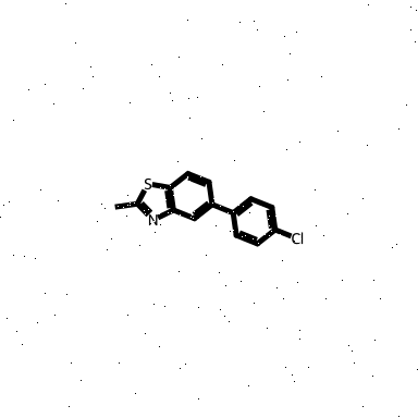 Cc1nc2cc(-c3ccc(Cl)cc3)ccc2s1